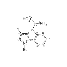 CC[n+]1ccn(C)c1.NC(Cc1ccccc1)C(=O)O